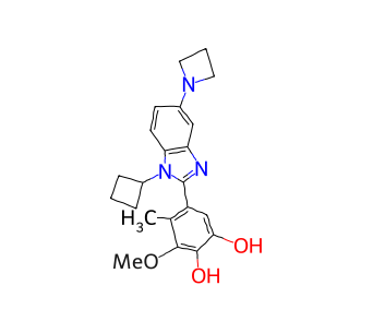 COc1c(C)c(-c2nc3cc(N4CCC4)ccc3n2C2CCC2)cc(O)c1O